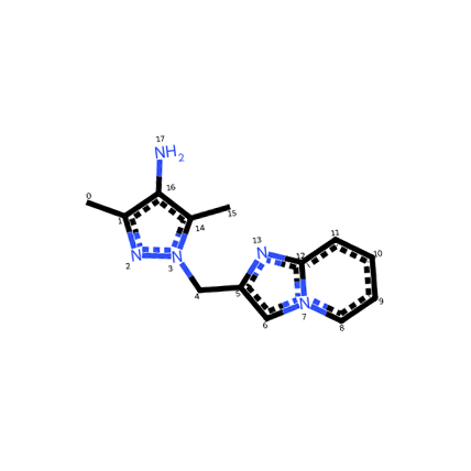 Cc1nn(Cc2cn3ccccc3n2)c(C)c1N